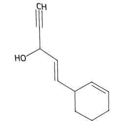 C#CC(O)C=CC1C=CCCC1